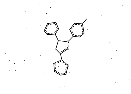 Cc1ccc(N2N=C(c3ccccn3)CC2c2ccccc2)cc1